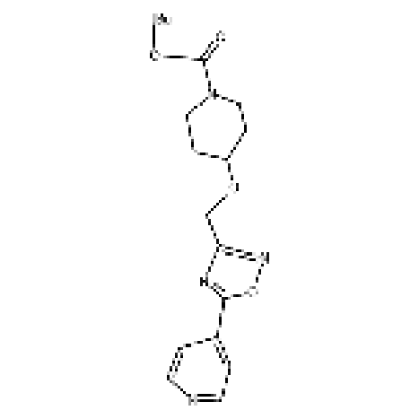 CC(C)(C)OC(=O)N1CCC(OCc2noc(-c3ccncc3)n2)CC1